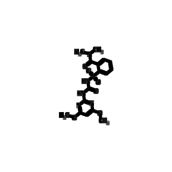 COc1cc(OC)nc(NC(=O)NS(=O)(=O)c2ccccc2C(=O)N(C)C)n1